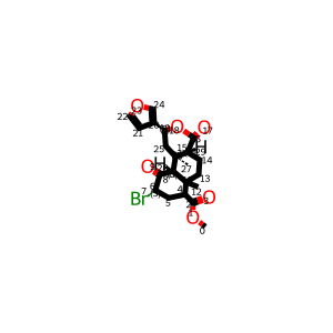 COC(=O)C1C[C@H](Br)C(=O)[C@H]2C1(C)CC[C@H]1C(=O)O[C@H](c3ccoc3)C[C@@]12C